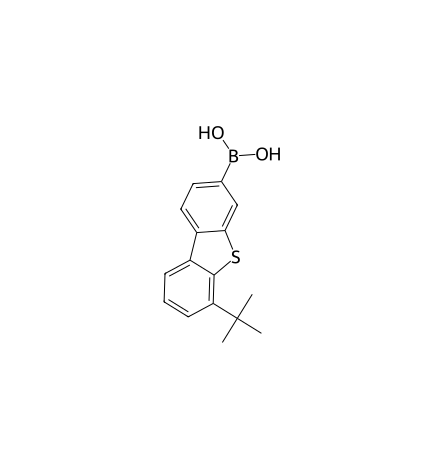 CC(C)(C)c1cccc2c1sc1cc(B(O)O)ccc12